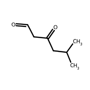 CC(C)CC(=O)CC=O